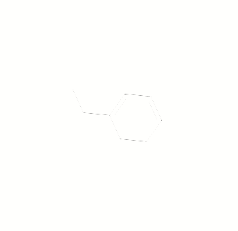 CCC1=CC=[C]C[C]1